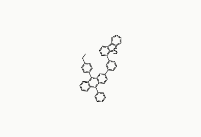 CCc1ccc(-c2c3ccccc3c(-c3ccccc3)c3ccc(-c4cccc(-c5cccc6c5sc5ccccc56)c4)cc23)cc1